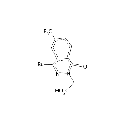 CCC(C)c1nn(CC(=O)O)c(=O)c2ccc(C(F)(F)F)cc12